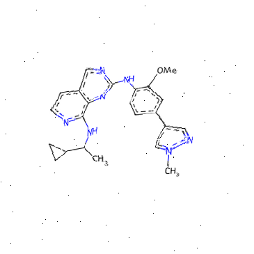 COc1cc(-c2cnn(C)c2)ccc1Nc1ncc2ccnc(NC(C)C3CC3)c2n1